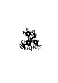 Cc1noc(C)c1-c1ccc2c(c1)nc(C1CCC(=O)N1c1ccc(F)c(F)c1)n2[C@@H]1CCC(CC(=O)O)C1